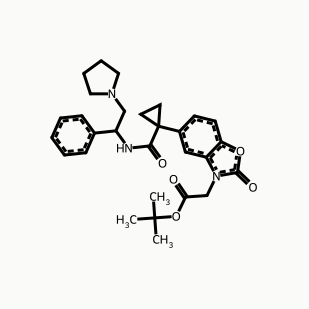 CC(C)(C)OC(=O)Cn1c(=O)oc2ccc(C3(C(=O)NC(CN4CCCC4)c4ccccc4)CC3)cc21